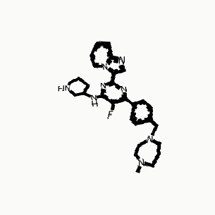 CN1CCCN(Cc2ccc(-c3nc(-c4cnc5ccccn45)nc(NC4CCCNC4)c3F)cc2)CC1